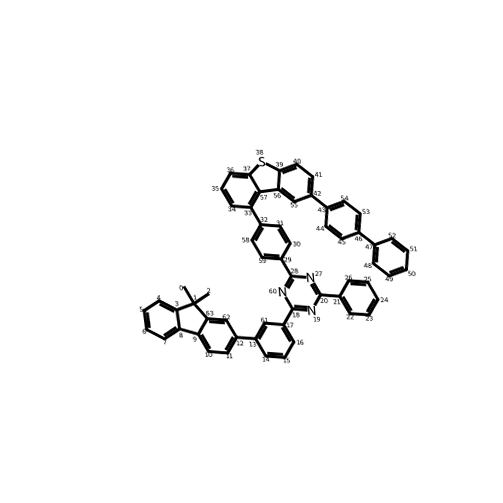 CC1(C)c2ccccc2-c2ccc(-c3cccc(-c4nc(-c5ccccc5)nc(-c5ccc(-c6cccc7sc8ccc(-c9ccc(-c%10ccccc%10)cc9)cc8c67)cc5)n4)c3)cc21